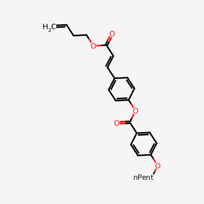 C=CCCOC(=O)C=Cc1ccc(OC(=O)c2ccc(OCCCCC)cc2)cc1